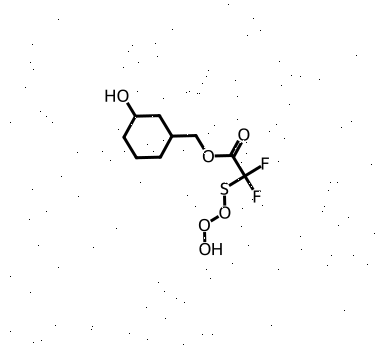 O=C(OCC1CCCC(O)C1)C(F)(F)SOOO